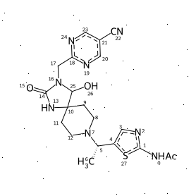 CC(=O)Nc1ncc([C@H](C)N2CCC3(CC2)NC(=O)N(Cc2ncc(C#N)cn2)C3O)s1